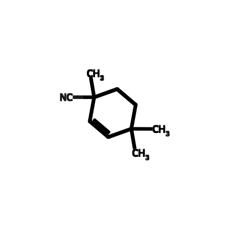 CC1(C)C=CC(C)(C#N)CC1